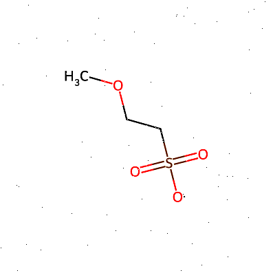 COCCS([O])(=O)=O